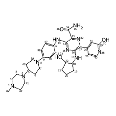 CN1CCN(C2CCN(c3ccc(Nc4nc(NC5CCCC5O)c(-c5ccnc(O)c5)nc4C(N)=O)cc3)CC2)CC1